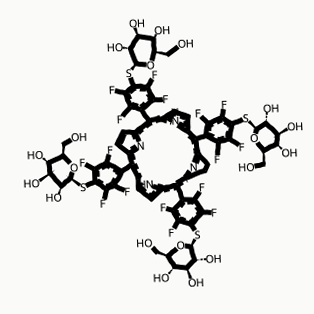 OC[C@H]1O[C@@H](Sc2c(F)c(F)c(-c3c4nc(c(-c5c(F)c(F)c(S[C@@H]6O[C@H](CO)[C@@H](O)[C@H](O)[C@H]6O)c(F)c5F)c5ccc([nH]5)c(-c5c(F)c(F)c(S[C@@H]6O[C@H](CO)[C@@H](O)[C@H](O)[C@H]6O)c(F)c5F)c5nc(c(-c6c(F)c(F)c(S[C@@H]7O[C@H](CO)[C@@H](O)[C@H](O)[C@H]7O)c(F)c6F)c6ccc3[nH]6)CC5)C=C4)c(F)c2F)[C@H](O)[C@@H](O)[C@@H]1O